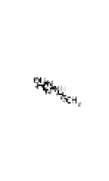 COCCNc1ncc(CO)cn1